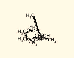 CC(O)COC(C)COC(C)COC(C)COC(C)CO.CCCCCCCCCCCCOP(=O)(O)OC(O)CCC